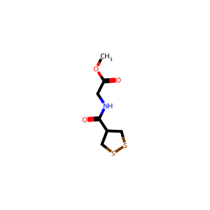 COC(=O)CNC(=O)C1CSSC1